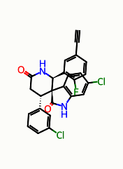 C#Cc1ccc(F)c([C@@H]2NC(=O)C[C@@H](c3cccc(Cl)c3)[C@]23C(=O)Nc2cc(Cl)ccc23)c1